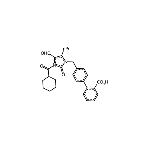 CCCc1c(C=O)n(C(=O)C2CCCCC2)c(=O)n1Cc1ccc(-c2ccccc2C(=O)O)cc1